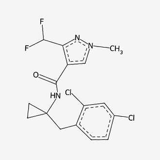 Cn1cc(C(=O)NC2(Cc3ccc(Cl)cc3Cl)CC2)c(C(F)F)n1